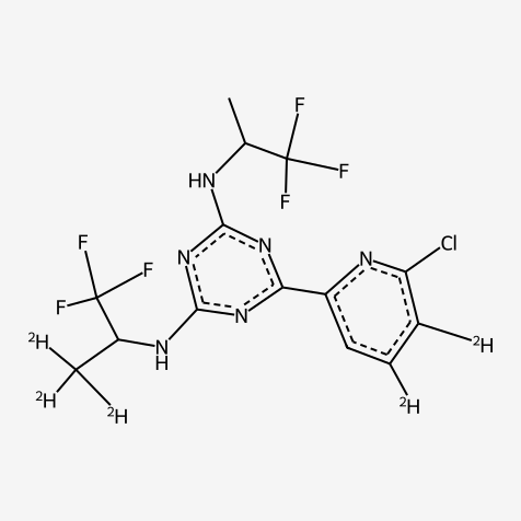 [2H]c1cc(-c2nc(NC(C)C(F)(F)F)nc(NC(C([2H])([2H])[2H])C(F)(F)F)n2)nc(Cl)c1[2H]